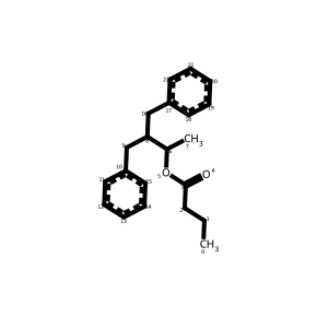 CCCC(=O)OC(C)C(Cc1ccccc1)Cc1ccccc1